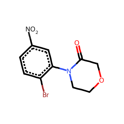 O=C1COCCN1c1cc([N+](=O)[O-])ccc1Br